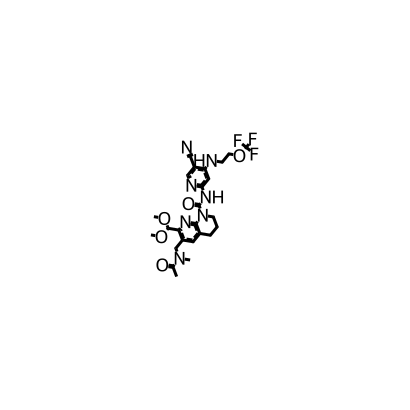 COC(OC)c1nc2c(cc1CN(C)C(C)=O)CCCN2C(=O)Nc1cc(NCCOC(F)(F)F)c(C#N)cn1